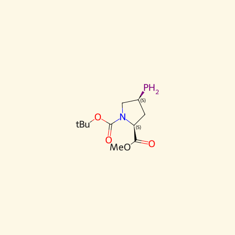 COC(=O)[C@@H]1C[C@H](P)CN1C(=O)OC(C)(C)C